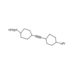 CCCCCCCC1CCC(C#CC2CCC(CCC)CC2)CC1